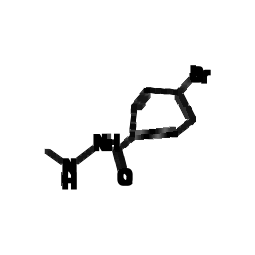 CNNC(=O)c1ccc(Br)cc1